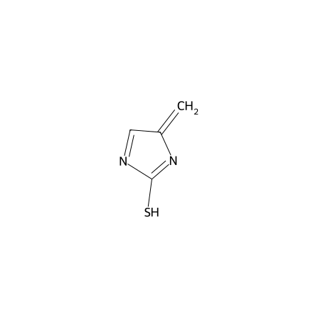 C=C1C=NC(S)=N1